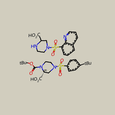 CC(C)(C)OC(=O)N1CCN(S(=O)(=O)c2ccc(C(C)(C)C)cc2)C[C@@H]1C(=O)O.O=C(O)C1CN(S(=O)(=O)c2cccc3cccnc23)CCN1